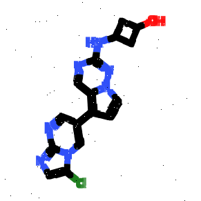 OC1CC(Nc2ncc3c(-c4cnc5ncc(Cl)n5c4)ccn3n2)C1